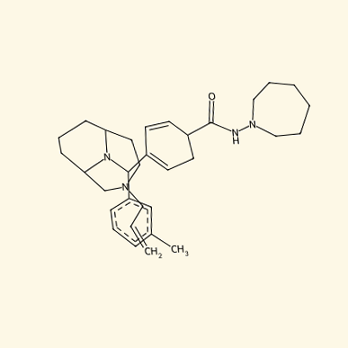 C=CCN1CCC2CCCC(C1)N2C(C1=CCC(C(=O)NN2CCCCCC2)C=C1)c1cccc(C)c1